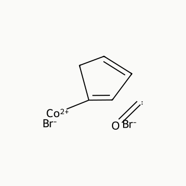 [Br-].[Br-].[C]=O.[Co+2][C]1=CC=CC1